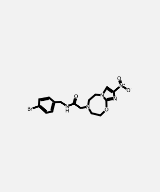 O=C(CN1CCOc2nc([N+](=O)[O-])cn2CC1)NCc1ccc(Br)cc1